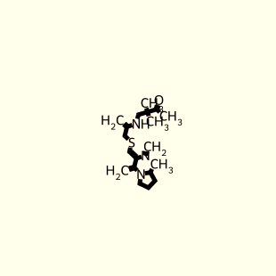 C=N/C(=C\SCC(=C)NCC(C)(C)C(C)=O)C(=C)N1CCCC1C